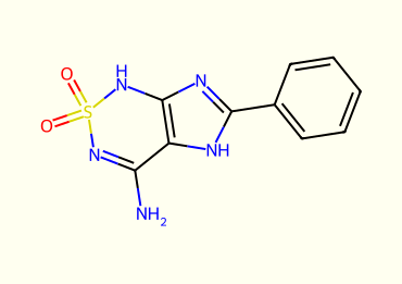 NC1=NS(=O)(=O)Nc2nc(-c3ccccc3)[nH]c21